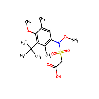 COc1c(C)cc(N(O[SiH3])S(=O)(=O)CC(=O)O)c(C)c1C(C)(C)C